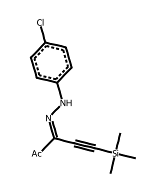 CC(=O)/C(C#C[Si](C)(C)C)=N/Nc1ccc(Cl)cc1